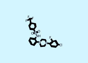 O=S(=O)(Nc1ccccc1N1CCN(c2ccc(Cl)cc2F)CC1)c1ccc(C(F)(F)F)cc1